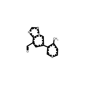 Cc1ccncc1-c1cc(C=O)c2ncnn2c1